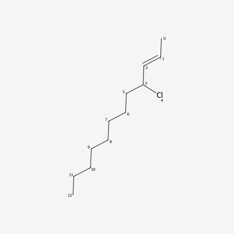 C[C]=CC(Cl)CCCCCCCC